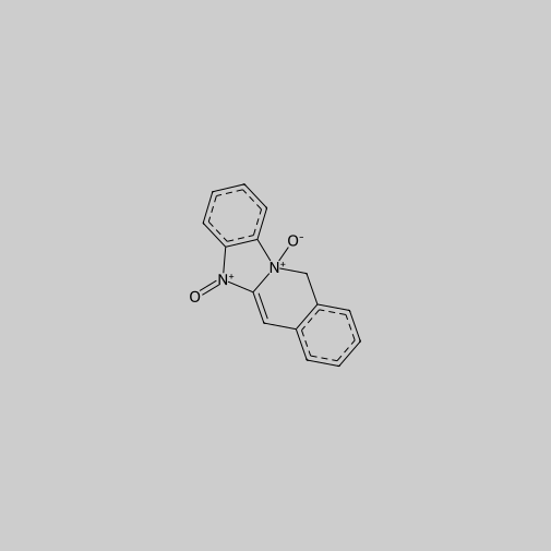 O=[N+]1C2=Cc3ccccc3C[N+]2([O-])c2ccccc21